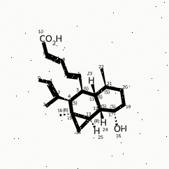 CC=C(C)[C@H]1[C@@H](C=CC=CC(=O)O)[C@H]2[C@@H]([C@H]3C[C@]31C)[C@@H](O)CC[C@@H]2C